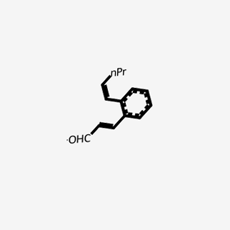 CCC/C=C\c1ccccc1C=C[C]=O